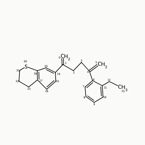 C=C(CCC(=C)c1ccccc1CC)c1ccc2c(c1)SCCC2